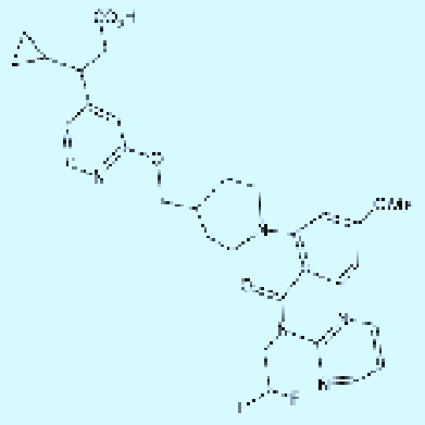 COc1ccc(C(=O)N(CC(F)F)c2ncccn2)c(N2CCC(COc3cc(C(CC(=O)O)C4CC4)ccn3)CC2)c1